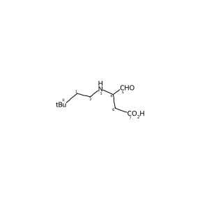 CC(C)(C)CCNC(C=O)CC(=O)O